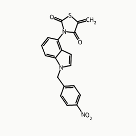 C=C1SC(=O)N(c2cccc3c2ccn3Cc2ccc([N+](=O)[O-])cc2)C1=O